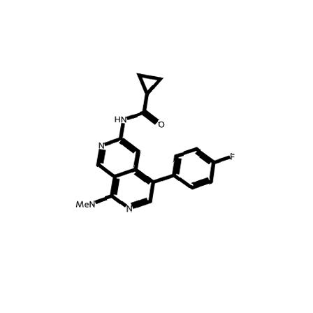 CNc1ncc(-c2ccc(F)cc2)c2cc(NC(=O)C3CC3)ncc12